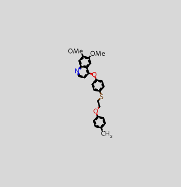 COc1cc2nccc(Oc3ccc(SCCOc4ccc(C)cc4)cc3)c2cc1OC